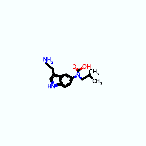 CC(C)CN(C(=O)O)c1ccc2[nH]cc(CCN)c2c1